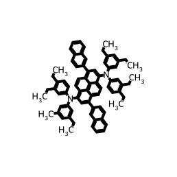 CCc1cc(C)cc(N(c2ccc(CC)c(CC)c2)c2cc(-c3ccc4ccccc4c3)c3ccc4c(N(c5cc(CC)cc(CC)c5)c5ccc(CC)c(CC)c5)cc(-c5ccc6ccccc6c5)c5ccc2c3c54)c1